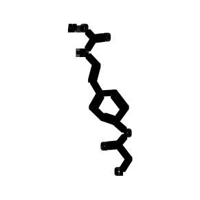 COC(=O)NC=Cc1ccc(OC(=O)CCl)cc1